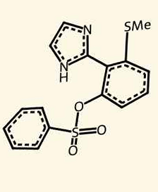 CSc1cccc(OS(=O)(=O)c2ccccc2)c1-c1ncc[nH]1